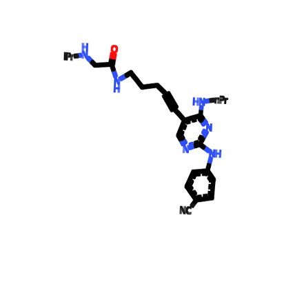 CCCNc1nc(Nc2ccc(C#N)cc2)ncc1C#CCCCNC(=O)CNC(C)C